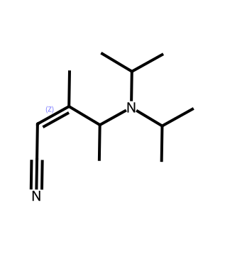 C/C(=C/C#N)C(C)N(C(C)C)C(C)C